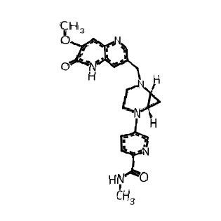 CNC(=O)c1ccc(N2CCN(Cc3cnc4cc(OC)c(=O)[nH]c4c3)[C@@H]3C[C@@H]32)cn1